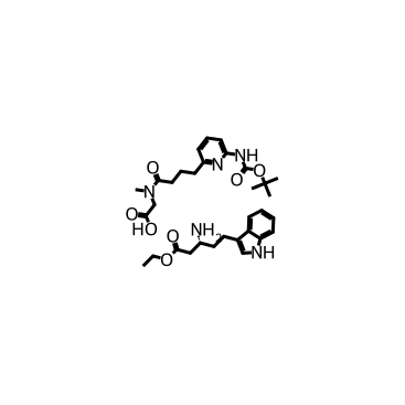 CCOC(=O)C[C@H](N)CCc1c[nH]c2ccccc12.CN(CC(=O)O)C(=O)CCCc1cccc(NC(=O)OC(C)(C)C)n1